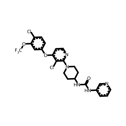 O=C(Nc1cccnc1)NC1CCN(c2nccc(Oc3ccc(Cl)c(OC(F)(F)F)c3)c2Cl)CC1